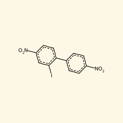 O=[N+]([O-])c1ccc(-c2ccc([N+](=O)[O-])cc2I)cc1